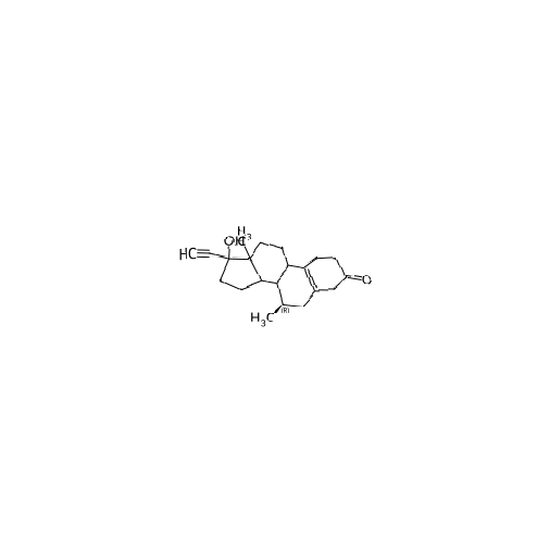 C#CC1(O)CCC2C3C(CCC21C)C1=C(CC(=O)CC1)C[C@H]3C